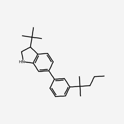 CCCC(C)(C)c1cccc(-c2ccc3c(c2)NCC3C(C)(C)C)c1